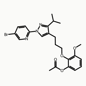 COc1cccc(OC(C)=O)c1OCCCc1cn(-c2ccc(Br)cn2)nc1C(C)C